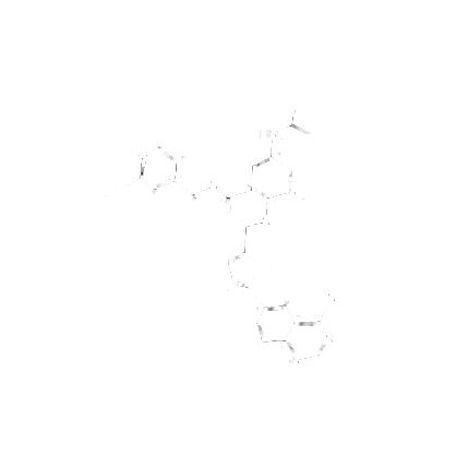 Nc1ncnc2ccc(-c3ccc(CNc4ncc(NC(=O)C(F)(F)F)cc4C(=O)NCc4ccc(F)c(F)c4)s3)cc12